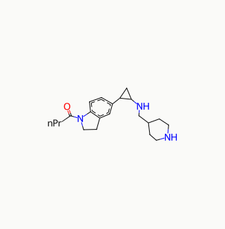 CCCC(=O)N1CCc2cc(C3CC3NCC3CCNCC3)ccc21